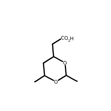 CC1CC(CC(=O)O)OC(C)O1